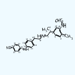 Cc1ccc([C@@H](C)CNCCc2ccc(Nc3ccc(C#N)cc3)cc2)cc1NC=O